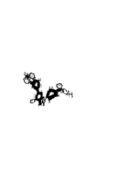 O=C(O)c1ccc(-n2ncc3c2CC(c2ccc4c(c2)OCO4)CC3=O)cc1